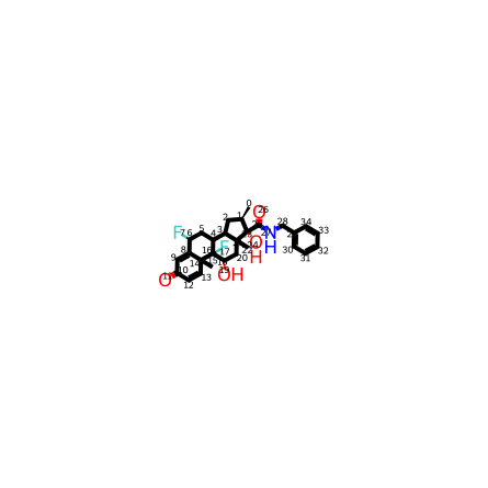 C[C@@H]1CC2C3C[C@H](F)C4=CC(=O)C=CC4(C)[C@@]3(F)[C@@H](O)CC2(C)[C@@]1(O)C(=O)NCc1ccccc1